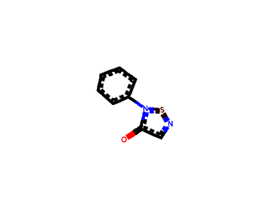 O=c1cnsn1-c1ccccc1